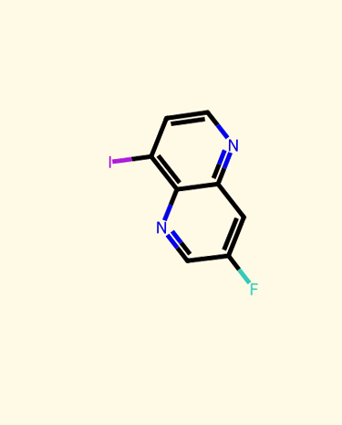 Fc1cnc2c(I)ccnc2c1